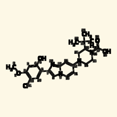 COc1cc(O)c(-c2cn3ccc(N4CCN(C(=O)O)C(C(C)(C)C)C4)cc3n2)cc1Cl